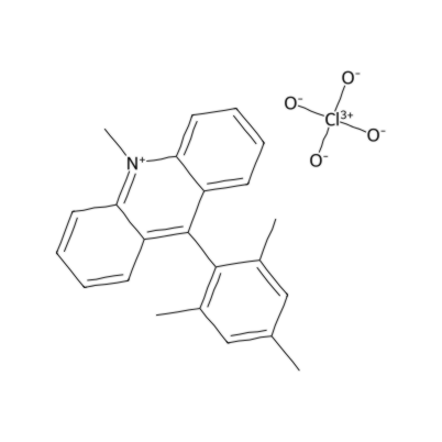 Cc1cc(C)c(-c2c3ccccc3[n+](C)c3ccccc23)c(C)c1.[O-][Cl+3]([O-])([O-])[O-]